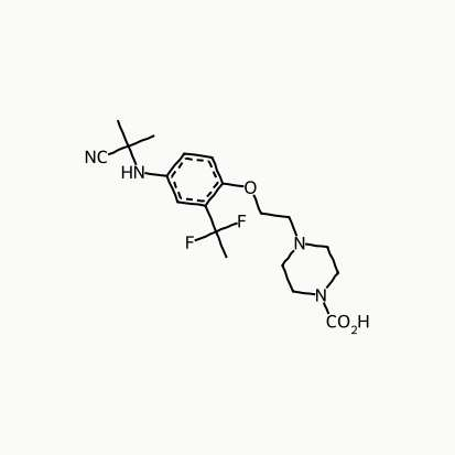 CC(C)(C#N)Nc1ccc(OCCN2CCN(C(=O)O)CC2)c(C(C)(F)F)c1